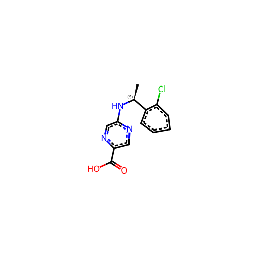 C[C@H](Nc1cnc(C(=O)O)cn1)c1ccccc1Cl